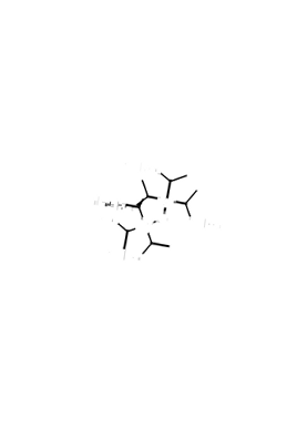 CCCCCC[CH](C)[Sn]([O][Sn]([CH](C)CCCCCC)([CH](C)CCCCCC)[CH](C)CCCCCC)([CH](C)CCCCCC)[CH](C)CCCCCC